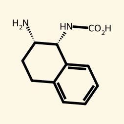 N[C@H]1CCc2ccccc2[C@H]1NC(=O)O